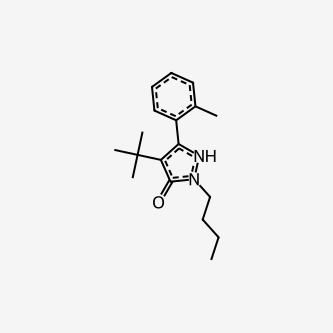 CCCCn1[nH]c(-c2ccccc2C)c(C(C)(C)C)c1=O